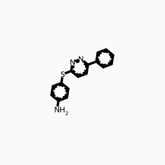 Nc1ccc(Sc2ccc(-c3ccccc3)nn2)cc1